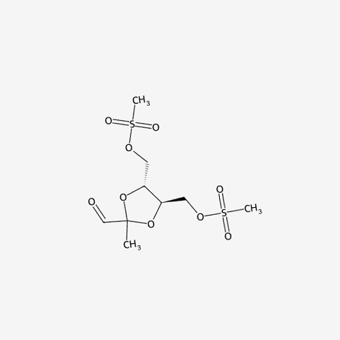 CC1(C=O)O[C@H](COS(C)(=O)=O)[C@@H](COS(C)(=O)=O)O1